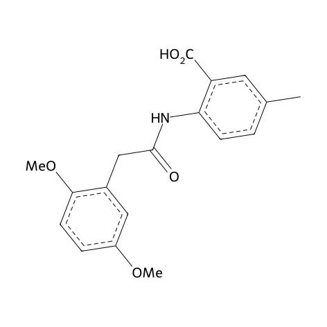 COc1ccc(OC)c(CC(=O)Nc2ccc(C)cc2C(=O)O)c1